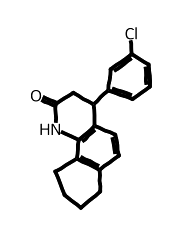 O=C1CC(c2cccc(Cl)c2)c2ccc3c(c2N1)CCCC3